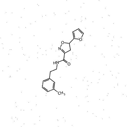 Cc1cccc(CCNC(=O)C2=NOC(c3ccco3)C2)c1